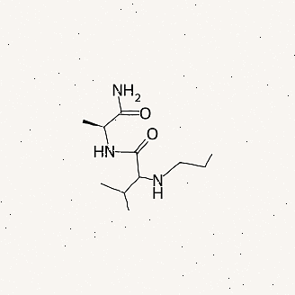 CCCNC(C(=O)N[C@@H](C)C(N)=O)C(C)C